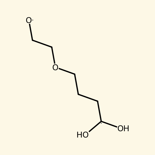 [O]CCOCCC[C](O)O